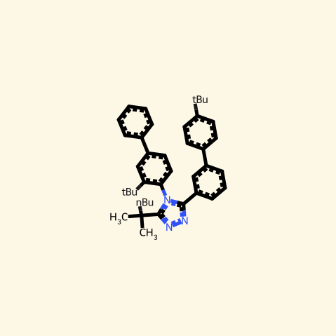 CCCCC(C)(C)c1nnc(-c2cccc(-c3ccc(C(C)(C)C)cc3)c2)n1-c1ccc(-c2ccccc2)cc1C(C)(C)C